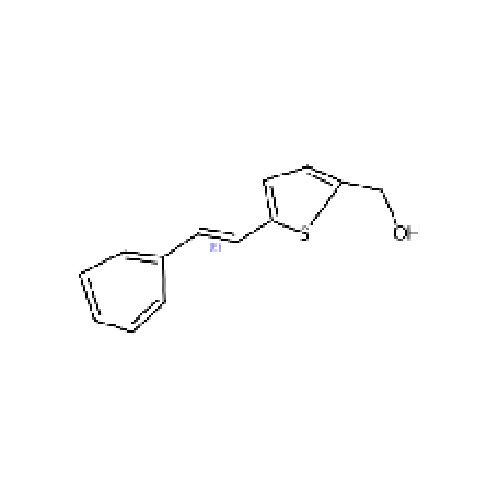 OCc1ccc(/C=C/c2ccccc2)s1